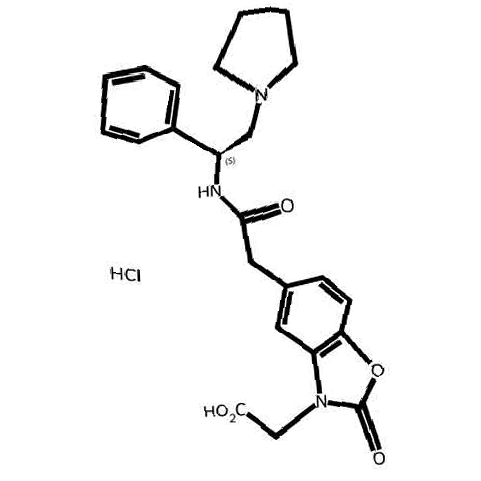 Cl.O=C(O)Cn1c(=O)oc2ccc(CC(=O)N[C@H](CN3CCCC3)c3ccccc3)cc21